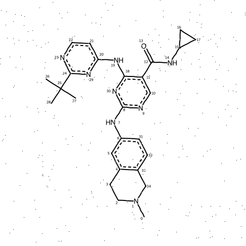 CN1CCc2cc(Nc3ncc(C(=O)NC4CC4)c(Nc4ccnc(C(C)(C)C)n4)n3)ccc2C1